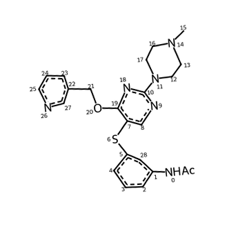 CC(=O)Nc1cccc(Sc2cnc(N3CCN(C)CC3)nc2OCc2cccnc2)c1